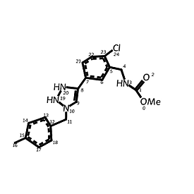 COC(=O)NCc1cc(C2=CN(Cc3ccc(C)cc3)NN2)ccc1Cl